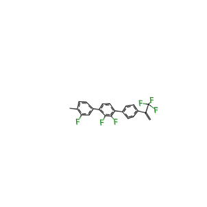 C=C(c1ccc(-c2ccc(-c3ccc(C)c(F)c3)c(F)c2F)cc1)C(F)(F)F